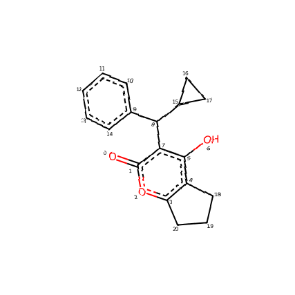 O=c1oc2c(c(O)c1C(c1ccccc1)C1CC1)CCC2